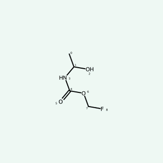 CC(O)NC(=O)OCF